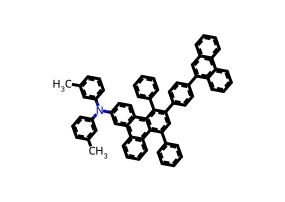 Cc1cccc(N(c2cccc(C)c2)c2ccc3c(c2)c2ccccc2c2c(-c4ccccc4)cc(-c4ccc(-c5cc6ccccc6c6ccccc56)cc4)c(-c4ccccc4)c32)c1